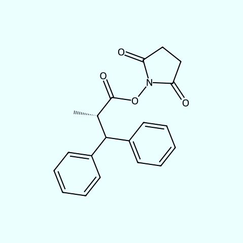 C[C@H](C(=O)ON1C(=O)CCC1=O)C(c1ccccc1)c1ccccc1